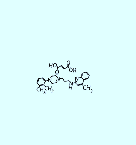 Cc1cccc(N2CCN(CCCNc3cc(C)c4ccccc4n3)CC2)c1C.O=C(O)/C=C/C(=O)O